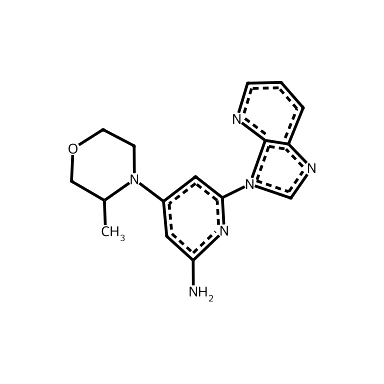 CC1COCCN1c1cc(N)nc(-n2cnc3cccnc32)c1